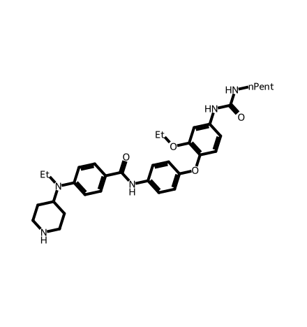 CCCCCNC(=O)Nc1ccc(Oc2ccc(NC(=O)c3ccc(N(CC)C4CCNCC4)cc3)cc2)c(OCC)c1